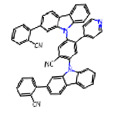 N#Cc1ccccc1-c1ccc2c3ccccc3n(-c3cc(-c4ccncc4)c(-n4c5ccccc5c5ccc(-c6ccccc6C#N)cc54)cc3C#N)c2c1